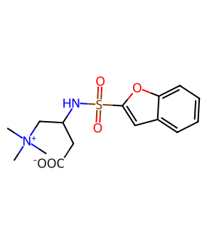 C[N+](C)(C)CC(CC(=O)[O-])NS(=O)(=O)c1cc2ccccc2o1